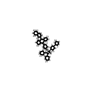 c1ccc(-c2ccc(-c3nc(-c4ccccc4)c(-c4ccccc4)n3-c3ccc(-c4c5ccccc5c(-c5ccc6ccccc6c5)c5ccccc45)cc3)cc2)cc1